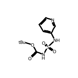 CC(C)(C)OC(=O)NS(=O)(=O)Nc1cccnc1